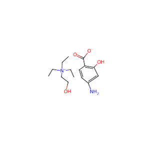 CC[N+](CC)(CC)CCO.Nc1ccc(C(=O)[O-])c(O)c1